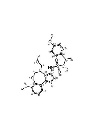 COC[C@@H]1COc2c(OC)cccc2-c2nnc(NS(=O)(=O)[C@@H](C)[C@H](C)c3ncc(OC)cn3)n21